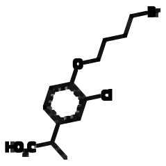 CC(C(=O)O)c1ccc(OCCCCBr)c(Cl)c1